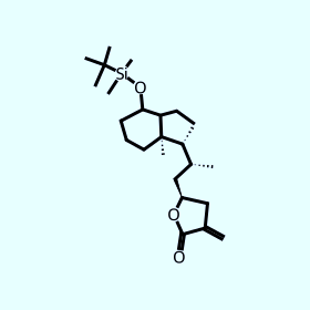 C=C1C[C@H](C[C@@H](C)[C@H]2CCC3C(O[Si](C)(C)C(C)(C)C)CCC[C@@]32C)OC1=O